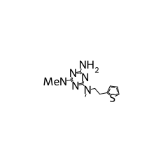 CNc1nc(N)nc(N(C)CCc2cccs2)n1